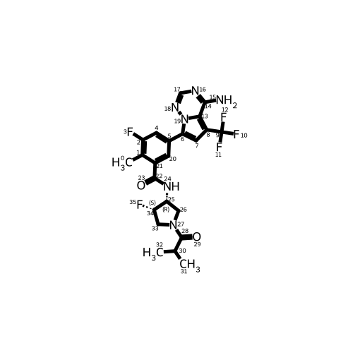 Cc1c(F)cc(-c2cc(C(F)(F)F)c3c(N)ncnn23)cc1C(=O)N[C@@H]1CN(C(=O)C(C)C)C[C@@H]1F